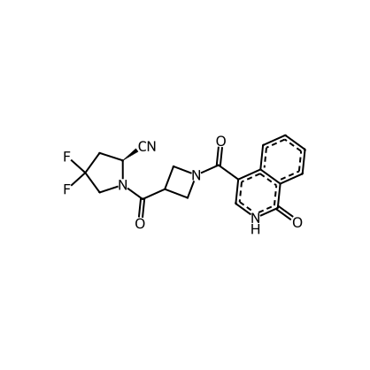 N#C[C@@H]1CC(F)(F)CN1C(=O)C1CN(C(=O)c2c[nH]c(=O)c3ccccc23)C1